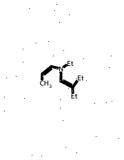 C/C=C\N(C=C(CC)CC)CC